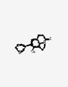 O=C1CCc2cc(-c3cccnc3)c(O)c3c2N1CC3